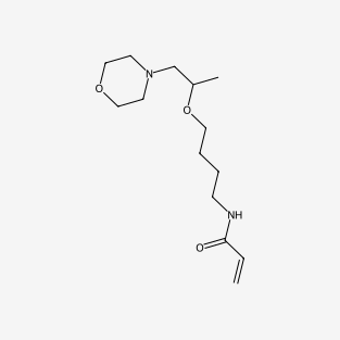 C=CC(=O)NCCCCOC(C)CN1CCOCC1